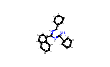 N/C(=N\C(=N/Cc1ccccc1)c1cccc2ccccc12)c1ccccc1